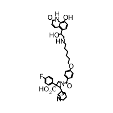 O=C(c1ccc(OCCCCCCNCC(O)c2ccc(O)c3[nH]c(=O)ccc23)cc1)N1CC(C(=O)O)(c2ccc(F)cc2)C1C1CN2CCC1CC2